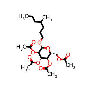 CCCC(C)CCCO[C@@H]1O[C@H](COC(C)=O)[C@@H](OC(C)=O)[C@H](OC(C)=O)[C@H]1OC(C)=O